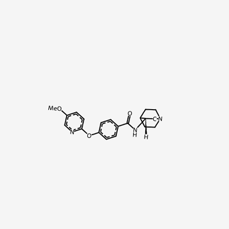 COc1ccc(Oc2ccc(C(=O)N[C@H]3CN4CCC3CC4)cc2)nc1